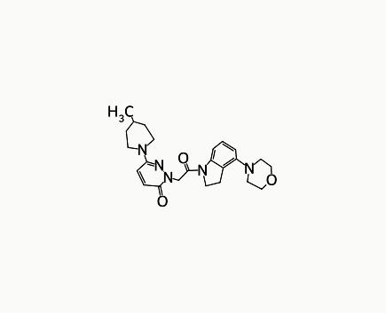 CC1CCN(c2ccc(=O)n(CC(=O)N3CCc4c(N5CCOCC5)cccc43)n2)CC1